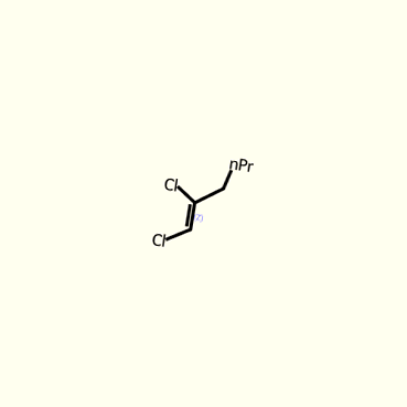 CCCC/C(Cl)=C/Cl